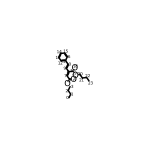 CCCCOC(=O)C=C(C=Cc1ccccc1)C(=O)OCCCC